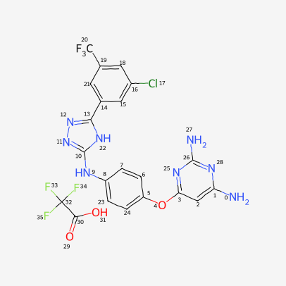 Nc1cc(Oc2ccc(Nc3nnc(-c4cc(Cl)cc(C(F)(F)F)c4)[nH]3)cc2)nc(N)n1.O=C(O)C(F)(F)F